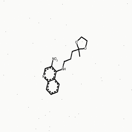 CC1(CCCNc2c([N+](=O)[O-])cnc3ccccc23)OCCO1